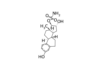 C[C@]12CC[C@@H]3c4ccc(O)cc4CC[C@H]3[C@@H]1C[C@@H](O)[C@@H]2OS(N)(=O)=O